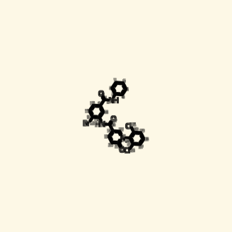 O=C(Nc1ccccc1)c1ccc(Br)c(NC(=O)c2ccc(=O)n(-c3c(Cl)cccc3Cl)c2)c1